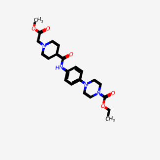 CCOC(=O)N1CCN(c2ccc(NC(=O)C3CCN(CC(=O)OC)CC3)cc2)CC1